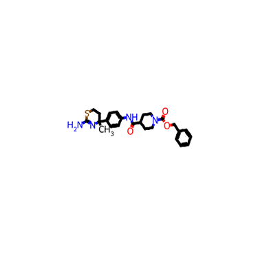 CC1(c2ccc(NC(=O)C3CCN(C(=O)OCc4ccccc4)CC3)cc2)CCSC(N)=N1